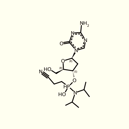 CC(C)N(C(C)C)[PH](O)(CCC#N)O[C@H]1C[C@H](n2cnc(N)nc2=O)O[C@@H]1CO